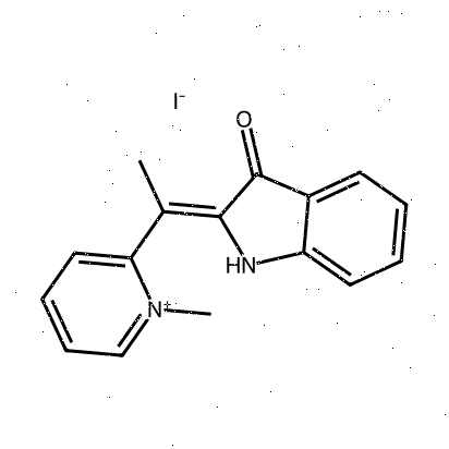 CC(=C1Nc2ccccc2C1=O)c1cccc[n+]1C.[I-]